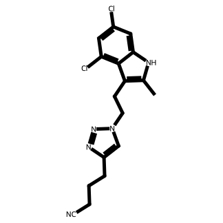 Cc1[nH]c2cc(Cl)cc(Cl)c2c1CCn1cc(CCCC#N)nn1